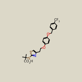 CC(C)(Sc1nc(CCOc2ccc(OCc3ccc(C(F)(F)F)cc3)cc2)cs1)C(=O)O